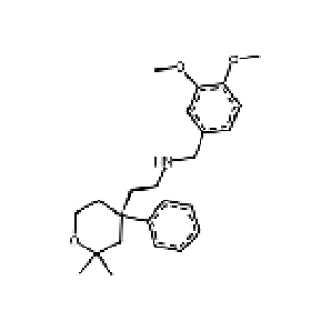 COc1ccc(CNCC[C@]2(c3ccccc3)CCOC(C)(C)C2)cc1OC